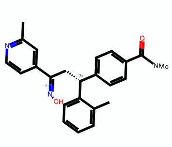 CNC(=O)c1ccc([C@@H](C/C(=N\O)c2ccnc(C)c2)c2ccccc2C)cc1